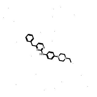 CCN1CCN(c2ccc(Nc3nccc(Cc4ccccc4)n3)cc2)CC1